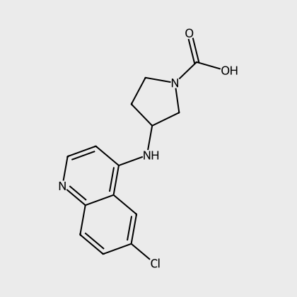 O=C(O)N1CCC(Nc2ccnc3ccc(Cl)cc23)C1